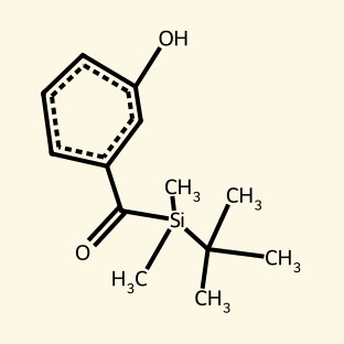 CC(C)(C)[Si](C)(C)C(=O)c1cccc(O)c1